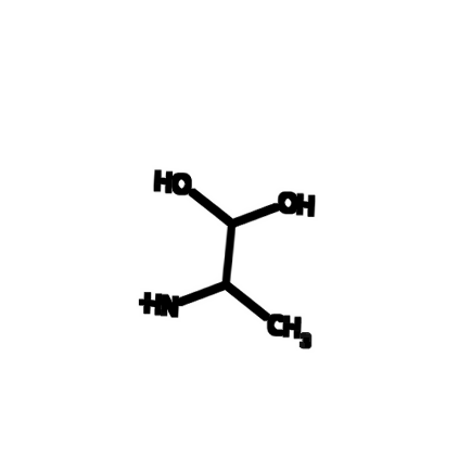 CC([NH])C(O)O